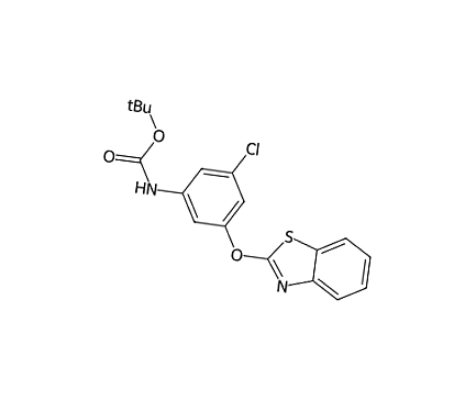 CC(C)(C)OC(=O)Nc1cc(Cl)cc(Oc2nc3ccccc3s2)c1